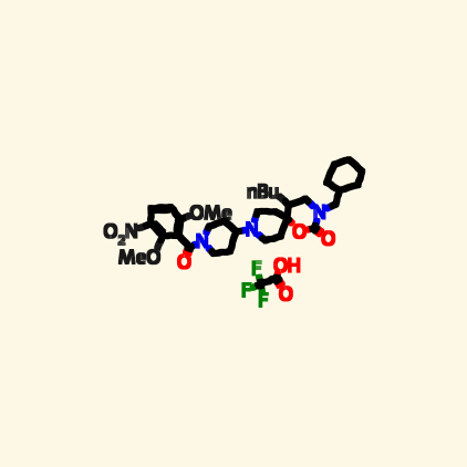 CCCCC1CN(CC2CCCCC2)C(=O)OC12CCN(C1CCN(C(=O)c3c(OC)ccc([N+](=O)[O-])c3OC)CC1)CC2.O=C(O)C(F)(F)F